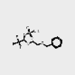 CS(=O)(=O)OC(OCCOCc1ccccc1)C(F)(F)F